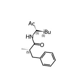 CC[C@H](C)[C@H](NC(=O)[C@@H](C)Cc1ccccc1)C(C)=O